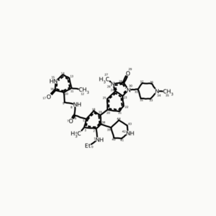 CCNc1c(C)c(C(=O)NCc2c(C)cc[nH]c2=O)cc(-c2ccc3c(c2)n(C)c(=O)n3C2CCN(C)CC2)c1C1CCNCC1